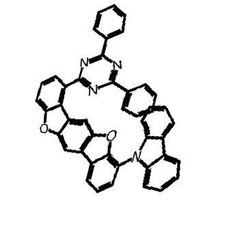 c1ccc(-c2nc(-c3ccccc3)nc(-c3cccc4oc5cc6c(cc5c34)oc3c(-n4c5ccccc5c5ccccc54)cccc36)n2)cc1